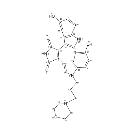 O=C1NC(=O)C(c2cn(CCCN3CCOCC3)c3ccc(O)cc23)=C1c1c[nH]c2ccc(O)cc12